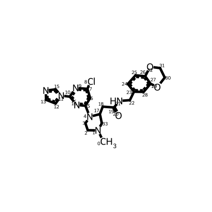 CN1CCN(c2cc(Cl)nc(-n3ccnc3)n2)C(CC(=O)NCc2ccc3c(c2)OCCO3)C1